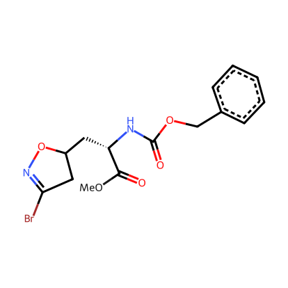 COC(=O)[C@H](CC1CC(Br)=NO1)NC(=O)OCc1ccccc1